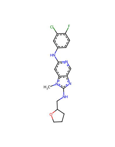 Cn1c(NCC2CCCO2)nc2cnc(Nc3ccc(F)c(Cl)c3)cc21